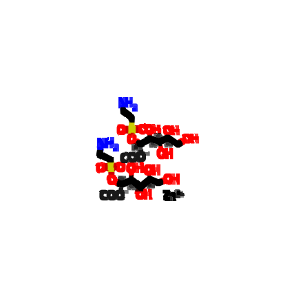 NCCS(=O)(=O)O[C@@H](C(=O)[O-])[C@@H](O)[C@H](O)[C@H](O)CO.NCCS(=O)(=O)O[C@@H](C(=O)[O-])[C@@H](O)[C@H](O)[C@H](O)CO.[Zn+2]